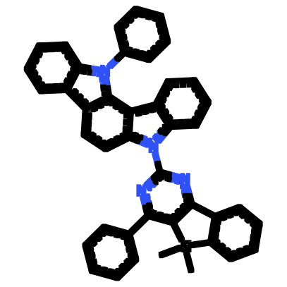 C[Si]1(C)c2ccccc2-c2nc(-n3c4ccccc4c4c3ccc3c5ccccc5n(-c5ccccc5)c34)nc(-c3ccccc3)c21